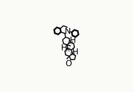 CC12CC[C@H]3C(CC[C@H]4CC(C5c6ccccc6CCN5c5ccccc5)CCC43C)[C@@H]1CCC2=O